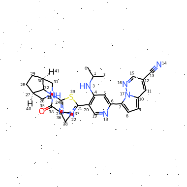 CC(C)Nc1cc(-c2ccc3cc(C#N)cnn23)ncc1-c1nnc(N2C[C@H]3CC[C@@H](C2)C3NC(=O)C2CC2)s1